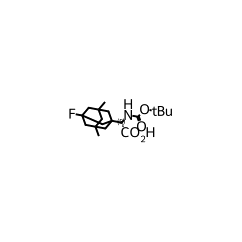 CC12CC3(C)CC(F)(C1)CC([C@H](NC(=O)OC(C)(C)C)C(=O)O)(C2)C3